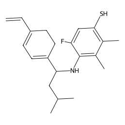 C=CC1=CC=C(C(CC(C)C)Nc2c(F)cc(S)c(C)c2C)CC1